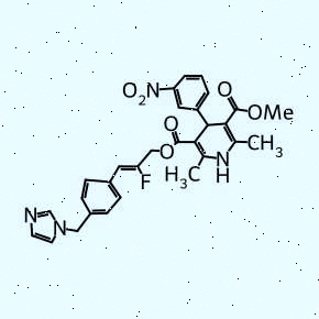 COC(=O)C1=C(C)NC(C)=C(C(=O)OCC(F)=Cc2ccc(Cn3ccnc3)cc2)C1c1cccc([N+](=O)[O-])c1